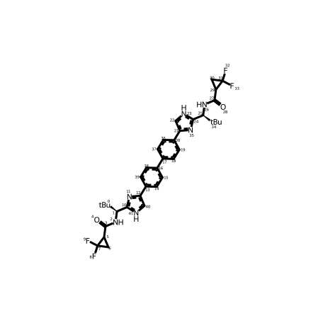 CC(C)(C)[C@H](NC(=O)C1CC1(F)F)c1nc(-c2ccc(-c3ccc(-c4c[nH]c([C@@H](NC(=O)C5CC5(F)F)C(C)(C)C)n4)cc3)cc2)c[nH]1